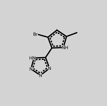 Cc1[c]c(Br)c(-c2nnn[nH]2)[nH]1